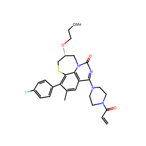 C=CC(=O)N1CCN(c2nc(=O)n3c4c(c(-c5ccc(F)cc5)c(C)cc24)SC[C@H](OCCOC)C3)CC1